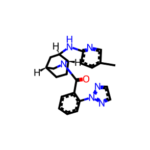 Cc1ccc(N[C@@H]2C[C@H]3CC[C@@H]2N(C(=O)c2ccccc2-n2nccn2)C3)nc1